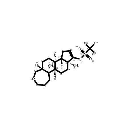 C[C@]12CCCOC[C@@H]1CC[C@@H]1[C@@H]2CC[C@]2(C)C(OS(=O)(=O)C(F)(F)F)=CC[C@@H]12